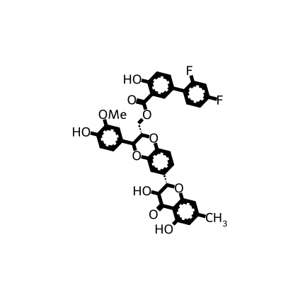 COc1cc(C2Oc3cc([C@@H]4Oc5cc(C)cc(O)c5C(=O)C4O)ccc3O[C@H]2COC(=O)c2cc(-c3ccc(F)cc3F)ccc2O)ccc1O